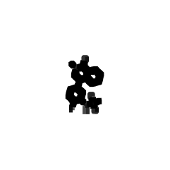 Cn1cc(-c2ccc(F)c(NS(C)(=O)=O)c2)c2ccccc2c1=O